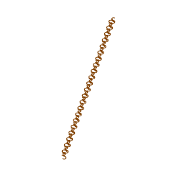 S=S=S=S=S=S=S=S=S=S=S=S=S=S=S=S=S=S=S=S=S=S=S=S=S=S=S=S=S=S=S=S=S=S=S=S=S=S=S=S=S=S=S=S=S